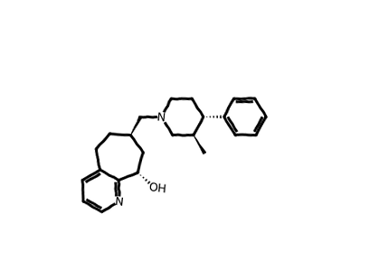 C[C@H]1CN(C[C@@H]2CCc3cccnc3[C@@H](O)C2)CC[C@@H]1c1ccccc1